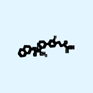 CN(C(=O)Nc1ccc2ccccc2c1)c1cc(-c2ccc(CCC(=O)NO)c(F)c2)ccn1